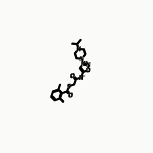 Cc1cccc(C)c1C(=O)SCC(=O)[N-]c1c[n+](N2CCN(C(C)C)CC2)no1